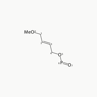 COCC=CCOP=O